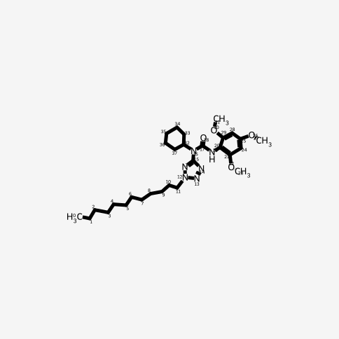 CCCCCCCCCCCCn1nnc(N(C(=O)Nc2c(OC)cc(OC)cc2OC)C2CCCCC2)n1